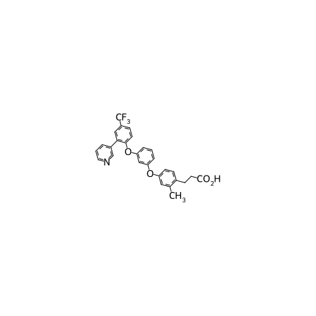 Cc1cc(Oc2cccc(Oc3ccc(C(F)(F)F)cc3-c3cccnc3)c2)ccc1CCC(=O)O